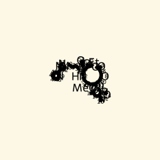 CC[C@H]1OC(=O)[C@H](C)C(=O)[C@H](C)[C@@H](O[C@@H]2OC(C)CC(N(C)C)C2P=O)[C@](C)(OC)C[C@@H](C)CN[C@H](C)[C@H]2N(C/C=C/Cn3cc(-c4ccccn4)nn3)C(=O)O[C@]12C